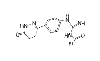 CCC(=O)NC(=N)Nc1ccc(C2=NNC(=O)CC2)cc1